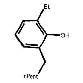 CCCCCCc1cccc(CC)c1O